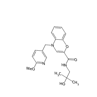 COc1ccc(CN2C=C(C(=O)NCC(C)(C)O)Oc3ccccc32)cn1